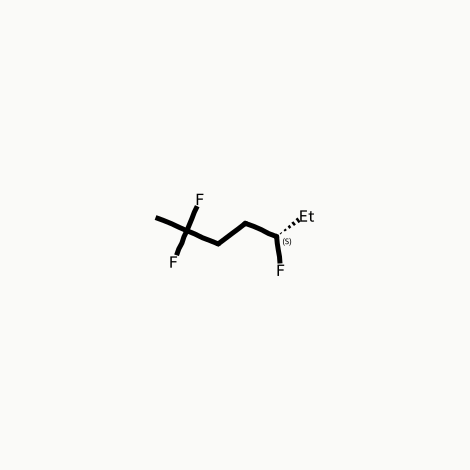 [CH2]C[C@H](F)CCC(C)(F)F